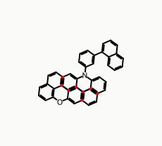 c1ccc(-c2ccccc2N(c2cccc(-c3cccc4ccccc34)c2)c2ccccc2-c2ccc3c(c2)-c2cccc4cccc(c24)O3)cc1